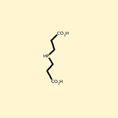 O=C(O)CCPCCC(=O)O